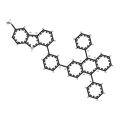 CC(C)(C)c1ccc2oc3c(-c4cccc(-c5ccc6c(-c7ccccc7)c7ccccc7c(-c7ccccc7)c6c5)c4)cccc3c2c1